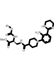 COC(=O)[C@H](CNC(=O)C1CCN(c2cccc(C3=NCCCN3)c2N)CC1)NC(=O)OC(C)C